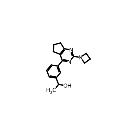 CC(O)c1cccc(-c2nc(N3CCC3)nc3c2CCC3)c1